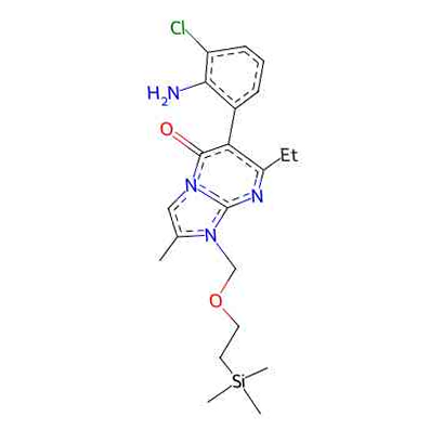 CCc1nc2n(COCC[Si](C)(C)C)c(C)cn2c(=O)c1-c1cccc(Cl)c1N